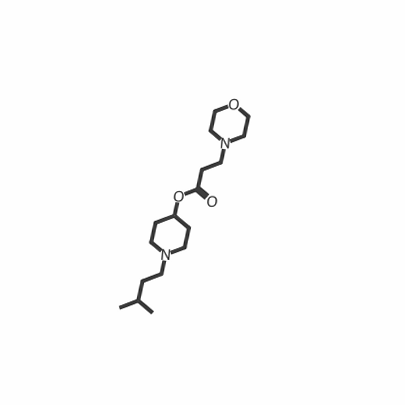 CC(C)CCN1CCC(OC(=O)CCN2CCOCC2)CC1